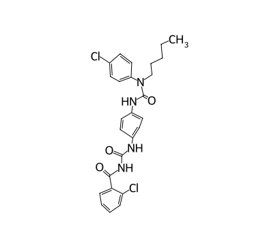 CCCCCN(C(=O)Nc1ccc(NC(=O)NC(=O)c2ccccc2Cl)cc1)c1ccc(Cl)cc1